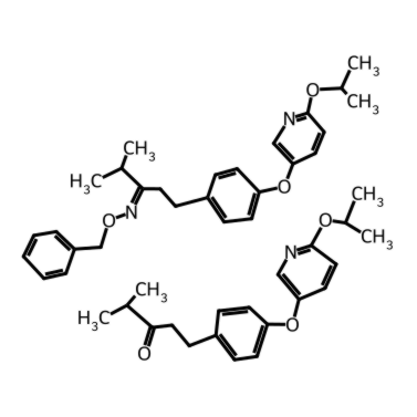 CC(C)Oc1ccc(Oc2ccc(CCC(=NOCc3ccccc3)C(C)C)cc2)cn1.CC(C)Oc1ccc(Oc2ccc(CCC(=O)C(C)C)cc2)cn1